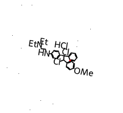 CCN(CC)CCNc1ccc(C(Cl)(c2ccccc2)C(Cl)c2ccc(OC)cc2)cc1.Cl